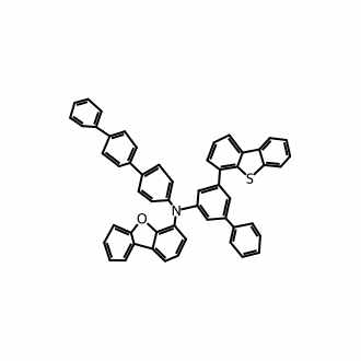 c1ccc(-c2ccc(-c3ccc(N(c4cc(-c5ccccc5)cc(-c5cccc6c5sc5ccccc56)c4)c4cccc5c4oc4ccccc45)cc3)cc2)cc1